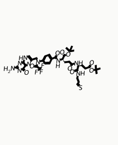 CC(C)(C)OC(=O)CC[C@H](NC(=O)CC[C@H](NC(=O)c1ccc(N(Cc2c[nH]c3nc(N)nc(=O)c-3n2)C(=O)C(F)(F)F)cc1)C(=O)OC(C)(C)C)C(=O)NCCC=S